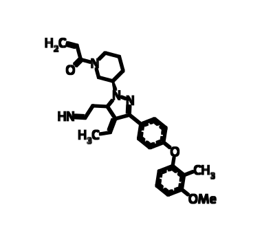 C=CC(=O)N1CCC[C@@H](N2N=C(c3ccc(Oc4cccc(OC)c4C)cc3)/C(=C/C)C2CC=N)C1